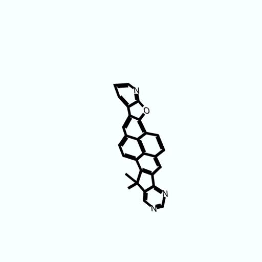 CC1(C)c2cncnc2-c2cc3ccc4c5oc6ncccc6c5cc5ccc(c21)c3c54